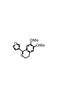 COc1cc2c(cc1OC)C(c1ccoc1)=NCC2